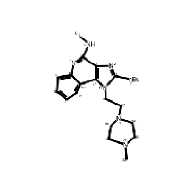 CCCCc1nc2c(NI)nc3ccccc3c2n1CCN1CCN(C)CC1